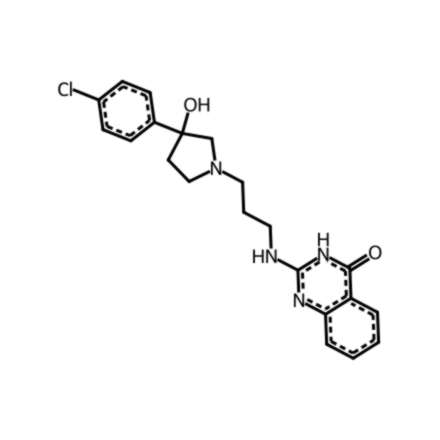 O=c1[nH]c(NCCCN2CCC(O)(c3ccc(Cl)cc3)C2)nc2ccccc12